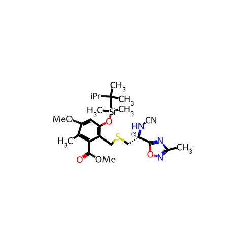 COC(=O)c1c(C)c(OC)cc(O[Si](C)(C)C(C)(C)C(C)C)c1CSC[C@H](NC#N)c1nc(C)no1